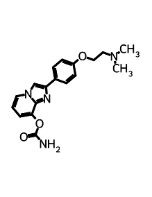 CN(C)CCOc1ccc(-c2cn3cccc(OC(N)=O)c3n2)cc1